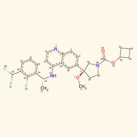 CO[C@]1(c2ccc3nccc(N[C@H](C)c4cccc(C(F)F)c4F)c3c2)CCN(C(=O)OC2CCC2)C1